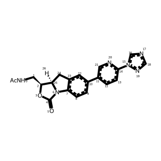 CC(=O)NC[C@@H]1OC(=O)N2c3ccc(-c4ccc(-n5cncn5)nc4)cc3C[C@H]12